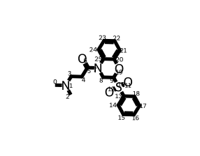 CN(C)CCC(=O)N1CC(S(=O)(=O)c2ccccc2)Oc2ccccc21